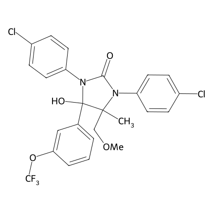 COCC1(C)N(c2ccc(Cl)cc2)C(=O)N(c2ccc(Cl)cc2)C1(O)c1cccc(OC(F)(F)F)c1